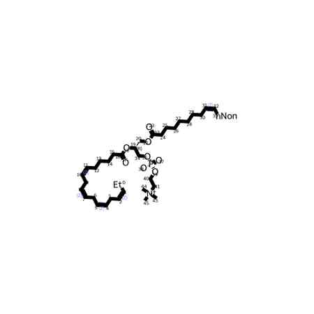 CC/C=C\C/C=C\C/C=C\C/C=C\CCCCC(=O)O[C@H](COC(=O)CCCCCCC/C=C\CCCCCCCCC)COP(=O)([O-])OCC[N+](C)(C)C